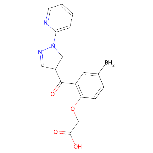 Bc1ccc(OCC(=O)O)c(C(=O)C2C=NN(c3ccccn3)C2)c1